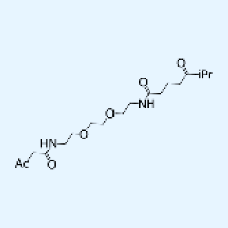 CC(=O)CC(=O)NCCOCCOCCNC(=O)CCCC(=O)C(C)C